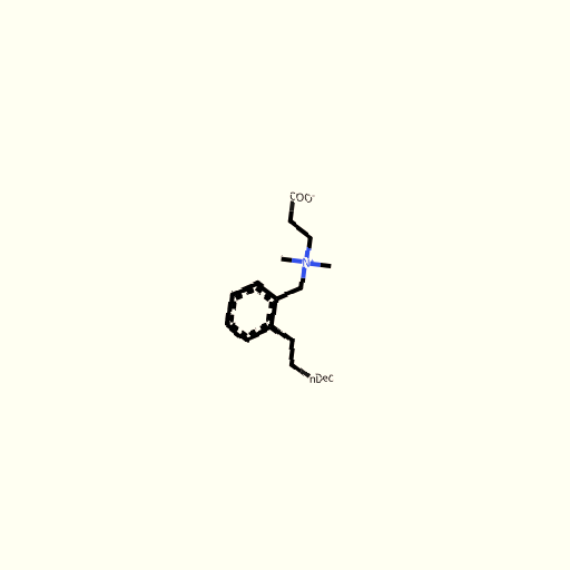 CCCCCCCCCCCCc1ccccc1C[N+](C)(C)CCC(=O)[O-]